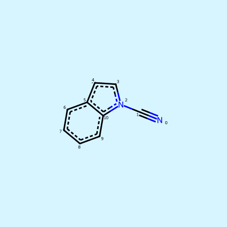 N#Cn1c[c]c2ccccc21